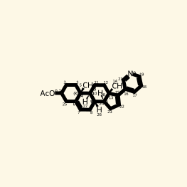 CC(=O)OC1CC[C@@]2(C)C(=CC[C@@H]3[C@@H]2CC[C@]2(C)C(c4cccnc4)=CC[C@@H]32)C1